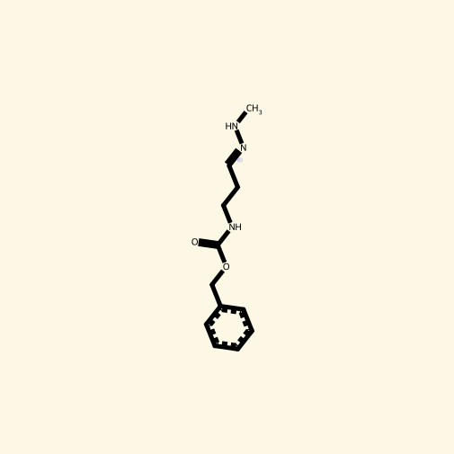 CN/N=C/CCNC(=O)OCc1ccccc1